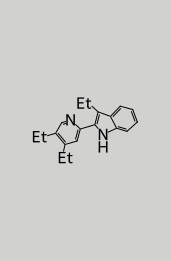 CCc1cnc(-c2[nH]c3ccccc3c2CC)cc1CC